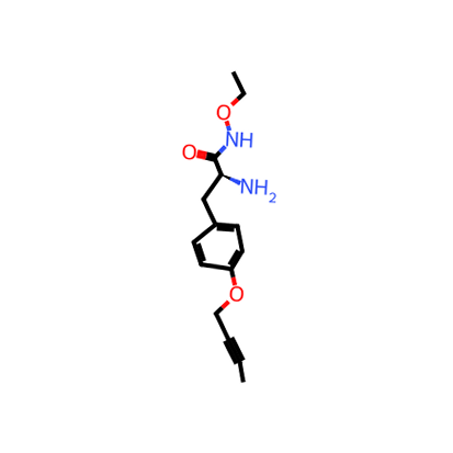 CC#CCOc1ccc(C[C@H](N)C(=O)NOCC)cc1